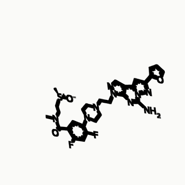 CN(CC[S@@+](C)[O-])C(=O)c1cc(N2CCN(CCn3ncc4c3nc(N)n3nc(-c5ccco5)cc43)CC2)c(F)cc1F